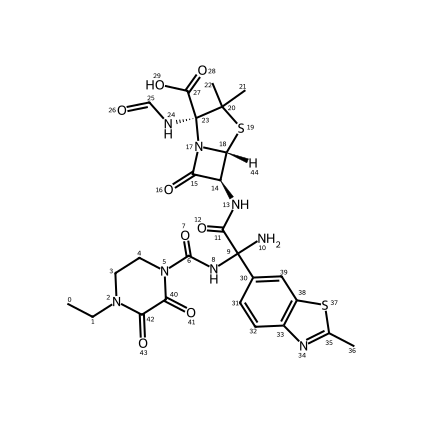 CCN1CCN(C(=O)NC(N)(C(=O)N[C@H]2C(=O)N3[C@@H]2SC(C)(C)[C@]3(NC=O)C(=O)O)c2ccc3nc(C)sc3c2)C(=O)C1=O